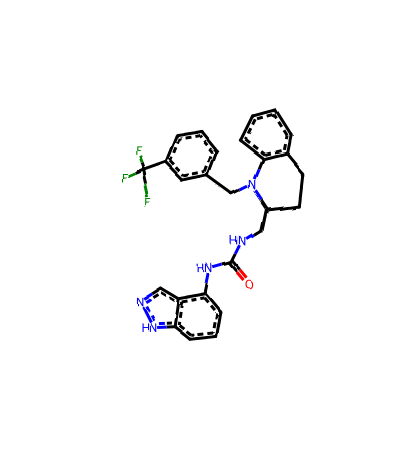 O=C(NCC1CCc2ccccc2N1Cc1cccc(C(F)(F)F)c1)Nc1cccc2[nH]ncc12